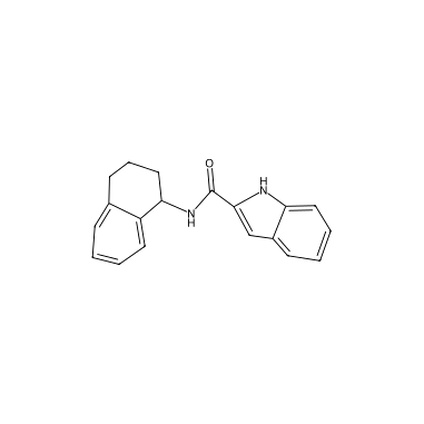 O=C(NC1CCCc2ccccc21)c1cc2ccccc2[nH]1